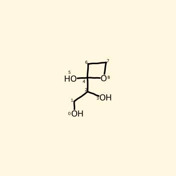 OCC(O)C1(O)CCO1